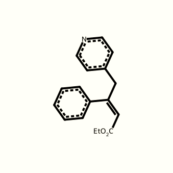 CCOC(=O)C=C(Cc1ccncc1)c1ccccc1